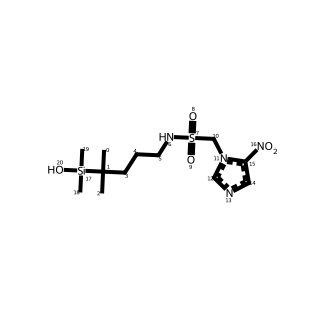 CC(C)(CCCNS(=O)(=O)Cn1cncc1[N+](=O)[O-])[Si](C)(C)O